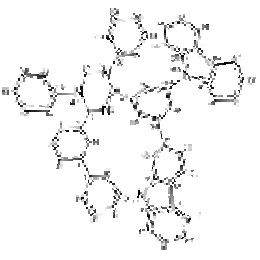 C1=NC(c2cccc(-c3cccc(-n4c5ccccc5c5ccc(-c6cccc(-n7c8ccccc8c8ccccc87)c6)cc54)c3)c2)N(c2ccccc2)CN1c1ccccc1